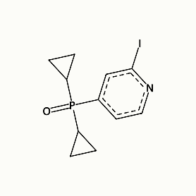 O=P(c1ccnc(I)c1)(C1CC1)C1CC1